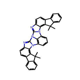 CC1(C)c2ccccc2-c2ccc3nc4n(c5cccc6c5n4c4nc5ccc7c(c5n64)C(C)(C)c4ccccc4-7)c3c21